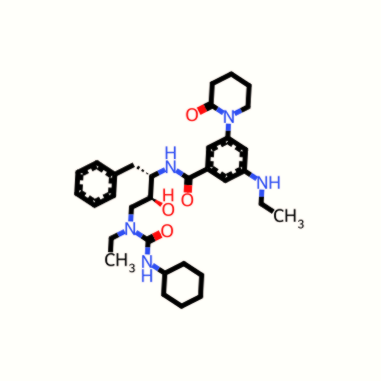 CCNc1cc(C(=O)N[C@@H](Cc2ccccc2)[C@@H](O)CN(CC)C(=O)NC2CCCCC2)cc(N2CCCCC2=O)c1